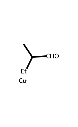 CCC(C)C=O.[Cu]